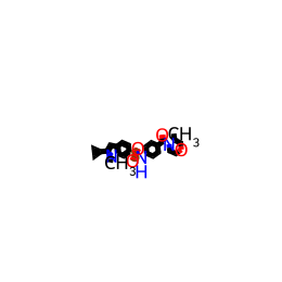 CC1COCCN1C(=O)C1CCC(NS(=O)(=O)c2ccc3cc(C4CC4)n(C)c3c2)CC1